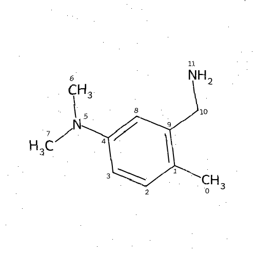 Cc1ccc(N(C)C)cc1CN